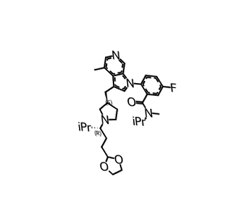 Cc1cncc2c1c(C[C@H]1CCN([C@H](CCC3OCCO3)C(C)C)C1)cn2-c1ccc(F)cc1C(=O)N(C)C(C)C